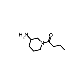 CCCC(=O)N1CCCC(N)C1